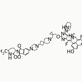 C#Cc1c(F)ccc2cc(O)cc(-c3ncc4c(N5CC6CCC(C5)N6)nc(OCC5(CN6CCC7(CC6)CC(N6CCN(c8ccc9c(c8)C(=O)N(C8CCC(=C)NC8=O)C9=O)CC6)C7)CC5)nc4c3F)c12